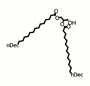 CCCCCCCCCCCCCCCCCCCCCCCC(=O)OCC(CO)OC(=O)CCCCCCCCCCCCCCCCCCCCCCC